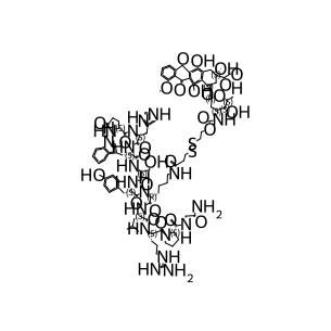 COc1cccc2c1C(=O)c1c(O)c3c(c(O)c1C2=O)C[C@@](O)(C(=O)CO)C[C@@H]3O[C@H]1C[C@H](NC(=O)OCCSSCCC(=O)NCCCC[C@@H](NC(=O)[C@H](Cc2ccc(O)cc2)NC(=O)[C@H](CO)NC(=O)[C@H](Cc2c[nH]c3ccccc23)NC(=O)[C@H](Cc2c[nH]cn2)NC(=O)[C@@H]2CCC(=O)N2)C(=O)N[C@@H](CC(C)C)C(=O)N[C@@H](CCCNC(=N)N)C(=O)N2CCC[C@H]2C(=O)NCC(N)=O)[C@H](O)[C@H](C)O1